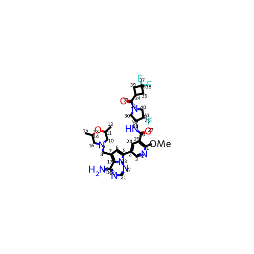 COc1ncc(-c2cc(CN3CC(C)OC(C)C3)c3c(N)ncnn23)cc1C(=O)N[C@@H]1CN(C(=O)C2CC(F)(F)C2)C[C@@H]1F